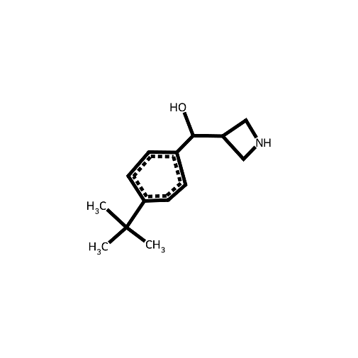 CC(C)(C)c1ccc(C(O)C2CNC2)cc1